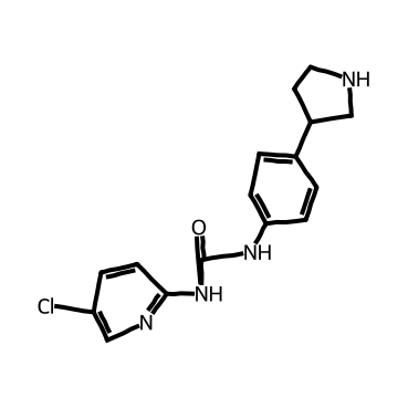 O=C(Nc1ccc(C2CCNC2)cc1)Nc1ccc(Cl)cn1